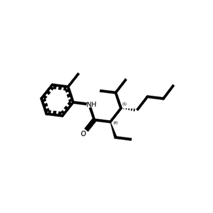 CCCC[C@@H](C(C)C)[C@@H](CC)C(=O)Nc1ccccc1C